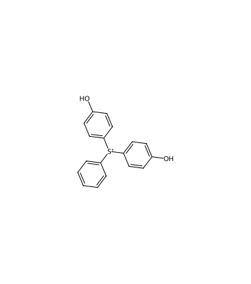 Oc1ccc([S+](c2ccccc2)c2ccc(O)cc2)cc1